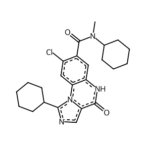 CN(C(=O)c1cc2[nH]c(=O)c3cnc(C4CCCCC4)n3c2cc1Cl)C1CCCCC1